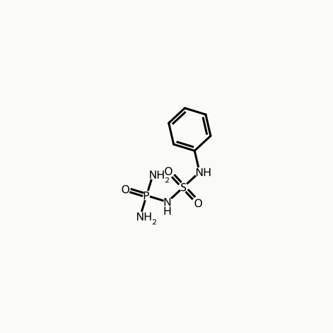 NP(N)(=O)NS(=O)(=O)Nc1ccccc1